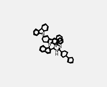 C1=CCCC(C2=NC(c3ccc4ccccc4c3-n3c4c(c5cc6ccccc6cc53)C=C(N3c5ccccc5C5C=CC=CC53)CC4)NC(C3=CCC(C4=CC=CCC4)CC3)=N2)=C1